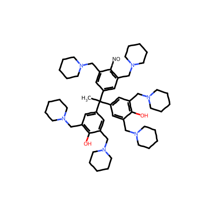 CC(c1cc(CN2CCCCC2)c(O)c(CN2CCCCC2)c1)(c1cc(CN2CCCCC2)c(O)c(CN2CCCCC2)c1)c1cc(CN2CCCCC2)c(N=O)c(CN2CCCCC2)c1